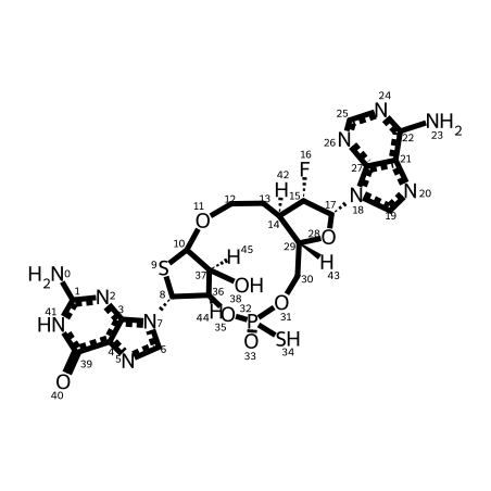 Nc1nc2c(ncn2[C@@H]2SC3OCC[C@H]4[C@H](F)[C@H](n5cnc6c(N)ncnc65)O[C@@H]4COP(=O)(S)O[C@@H]2[C@@H]3O)c(=O)[nH]1